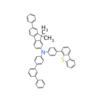 CC1(C)c2cc(-c3ccccc3)ccc2-c2ccc(N(c3ccc(-c4cccc(-c5ccccc5)c4)cc3)c3ccc(-c4cccc5c4sc4ccccc45)cc3)cc21